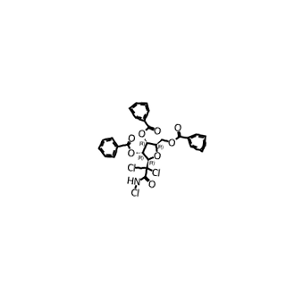 O=C(OC[C@H]1O[C@@H](C(Cl)(Cl)C(=O)NCl)[C@H](OC(=O)c2ccccc2)[C@@H]1OC(=O)c1ccccc1)c1ccccc1